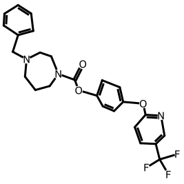 O=C(Oc1ccc(Oc2ccc(C(F)(F)F)cn2)cc1)N1CCCN(Cc2ccccc2)CC1